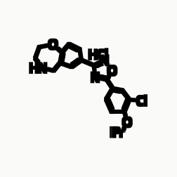 CC(C)Oc1ccc(-c2nc(-c3ccc4c(c3)CNCCO4)no2)cc1Cl.Cl